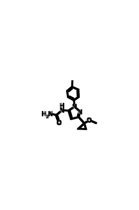 COC1(c2cc(NC(N)=O)n(-c3ccc(C)cc3)n2)CC1